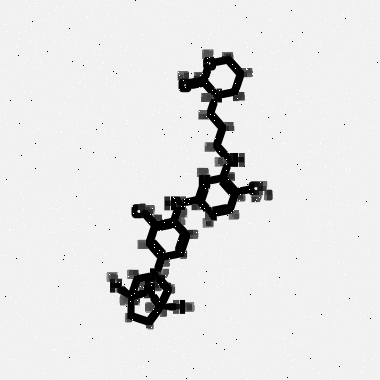 CN1[C@@H]2CC[C@H]1CN(c1ccc(Nc3ncc(C(F)(F)F)c(NCCCN4CCCOC4=O)n3)c(Cl)c1)C2